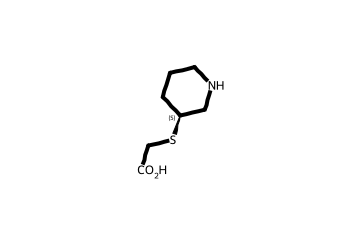 O=C(O)CS[C@H]1CCCNC1